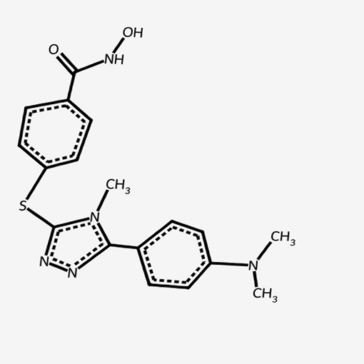 CN(C)c1ccc(-c2nnc(Sc3ccc(C(=O)NO)cc3)n2C)cc1